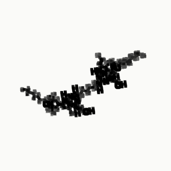 CCCCCCCCON1C(C)(C)CC(C(CCC)Nc2nc(NCCO)nc(NCCCCCCNc3nc(NCCO)nc(NC(CCC)C4CC(C)(C)N(OCCCCCCCC)C(C)(C)C4)n3)n2)CC1(C)C